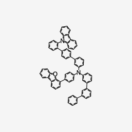 c1ccc(-c2cccc(-c3cccc(N(c4ccc(-c5cccc6c5oc5ccccc56)cc4)c4cccc(-c5ccc(-c6ccccc6-n6c7ccccc7c7ccccc76)cc5)c4)c3)c2)cc1